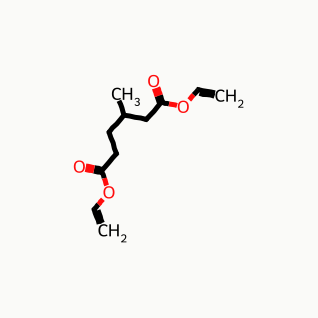 C=COC(=O)CCC(C)CC(=O)OC=C